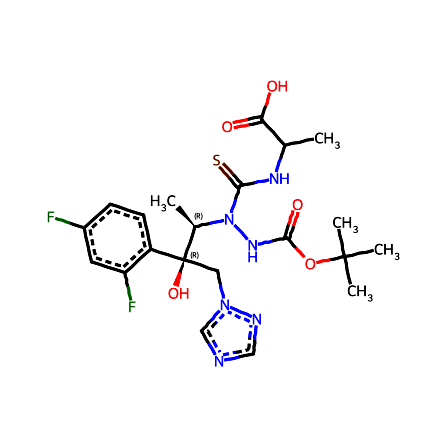 CC(NC(=S)N(NC(=O)OC(C)(C)C)[C@H](C)[C@](O)(Cn1cncn1)c1ccc(F)cc1F)C(=O)O